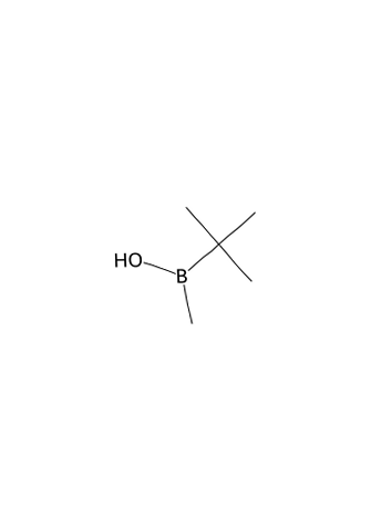 CB(O)C(C)(C)C